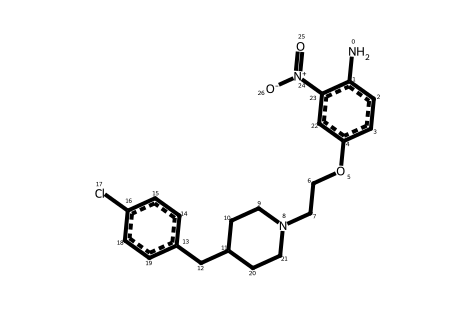 Nc1ccc(OCCN2CCC(Cc3ccc(Cl)cc3)CC2)cc1[N+](=O)[O-]